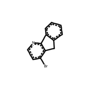 Brc1ccnc2c1Cc1ccccc1-2